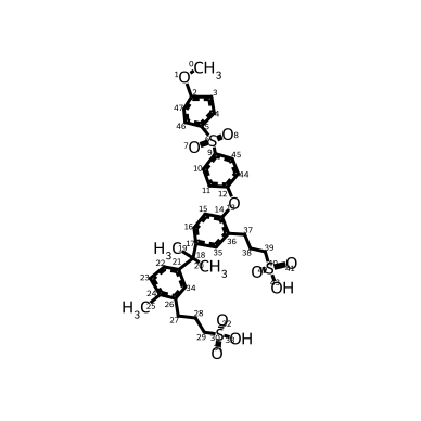 COc1ccc(S(=O)(=O)c2ccc(Oc3ccc(C(C)(C)c4ccc(C)c(CCCS(=O)(=O)O)c4)cc3CCCS(=O)(=O)O)cc2)cc1